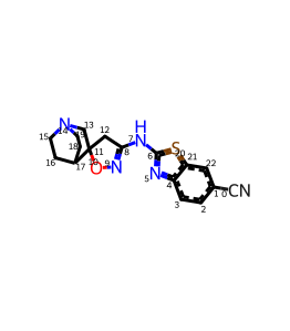 N#Cc1ccc2nc(NC3=NOC4(C3)CN3CCC4CC3)sc2c1